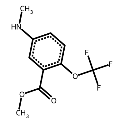 CNc1ccc(OC(F)(F)F)c(C(=O)OC)c1